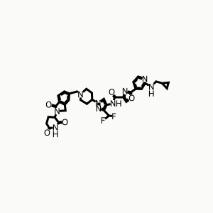 O=C1CCC(N2Cc3cc(CN4CCC(n5cc(NC(=O)c6coc(-c7ccnc(NCC8CC8)c7)n6)c(C(F)F)n5)CC4)ccc3C2=O)C(=O)N1